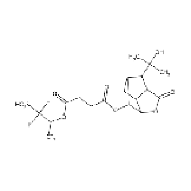 CC(C)(O)C1C2CC3C(OC(=O)C31)C2OC(=O)CCC(=O)OC(C(F)(F)F)C(F)(F)S(=O)(=O)O